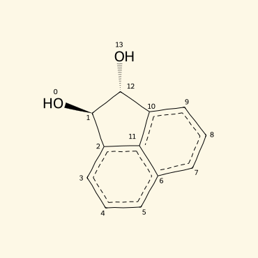 O[C@@H]1c2cccc3cccc(c23)[C@H]1O